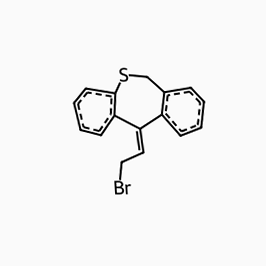 BrCC=C1c2ccccc2CSc2ccccc21